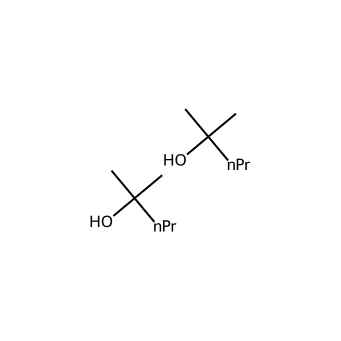 CCCC(C)(C)O.CCCC(C)(C)O